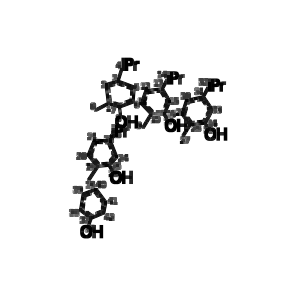 Cc1cc(C(C)C)ccc1O.Cc1ccc(C(C)C)cc1O.Cc1ccc(C(C)C)cc1O.Cc1ccc(C(C)C)cc1O.Oc1ccccc1